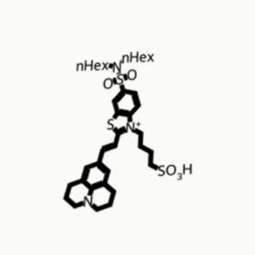 CCCCCCN(CCCCCC)S(=O)(=O)c1ccc2c(c1)sc(C=Cc1cc3c4c(c1)CCCN4CCC3)[n+]2CCCCS(=O)(=O)O